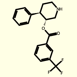 O=C(O[C@H]1CNCC[C@@H]1c1ccccc1)c1cccc(C(F)(F)F)c1